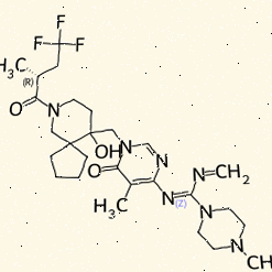 C=N/C(=N\c1ncn(CC2(O)CCN(C(=O)[C@H](C)CC(F)(F)F)CC23CCCC3)c(=O)c1C)N1CCN(C)CC1